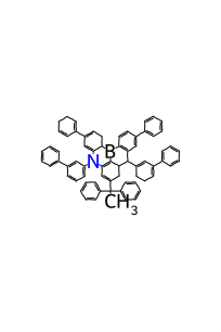 CC(C1=CC2=C3B(c4ccc(-c5ccccc5)cc4C(C4=CC(c5ccccc5)=CCC4)C3C1)C1CC=C(C3=CCCC=C3)C=C1N2c1cccc(-c2ccccc2)c1)(c1ccccc1)c1ccccc1